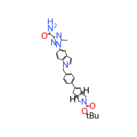 Cc1nc(C(N)=O)nn1-c1ccc2c(ccn2Cc2ccc(C3=C[C@@H]4CN(C(=O)OC(C)(C)C)C[C@@H]4C3)cc2)c1